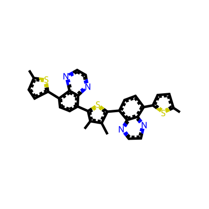 Cc1ccc(-c2ccc(-c3sc(-c4ccc(-c5ccc(C)s5)c5nccnc45)c(C)c3C)c3nccnc23)s1